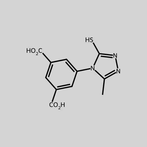 Cc1nnc(S)n1-c1cc(C(=O)O)cc(C(=O)O)c1